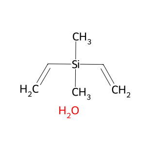 C=C[Si](C)(C)C=C.O